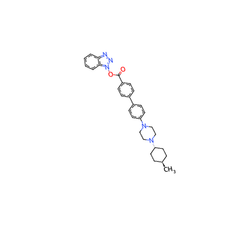 C[C@H]1CC[C@H](N2CCN(c3ccc(-c4ccc(C(=O)On5nnc6ccccc65)cc4)cc3)CC2)CC1